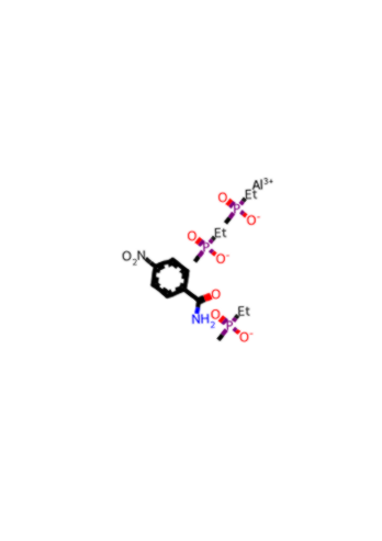 CCP(C)(=O)[O-].CCP(C)(=O)[O-].CCP(C)(=O)[O-].NC(=O)c1ccc([N+](=O)[O-])cc1.[Al+3]